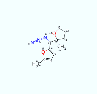 Cc1ccc(C(N=[N+]=[N-])C2(C)CCCO2)o1